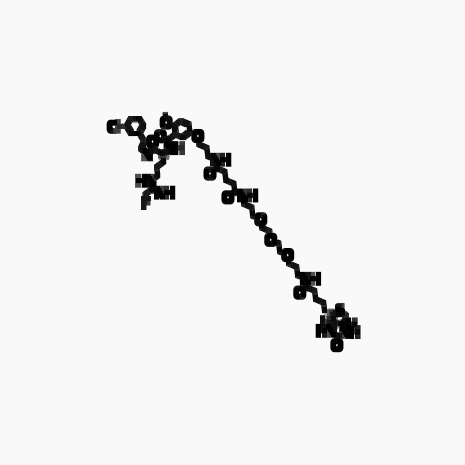 COc1ccc(OCCCNC(=O)CCCC(=O)NCCCOCCOCCOCCCNC(=O)CCCC[C@@H]2SC[C@@H]3NC(=O)N[C@@H]32)cc1C(=O)N[C@@H](CCCNC(=N)CF)c1ncc(-c2cccc(Cl)c2)o1